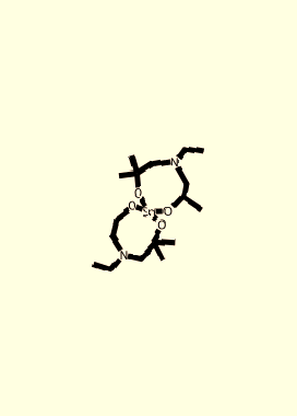 CCN1CC[O][Sn]2([O]C(C)CN(CC)CC(C)(C)[O]2)[O]C(C)(C)C1